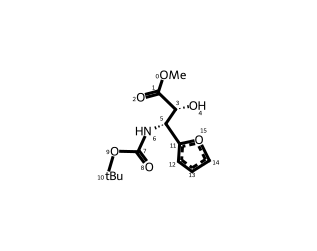 COC(=O)[C@H](O)[C@@H](NC(=O)OC(C)(C)C)c1ccco1